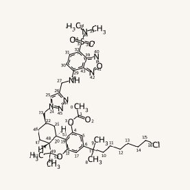 CC(=O)Oc1cc(C(C)(C)CCCCCCCl)cc2c1[C@@H]1C[C@H](Cn3cc(CNc4ccc(S(=O)(=O)N(C)C)c5nonc45)nn3)CC[C@H]1C(C)(C)O2